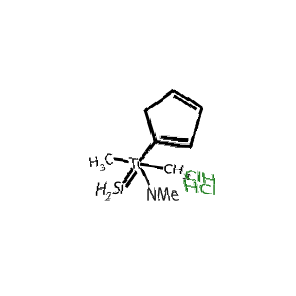 C[NH][Ti]([CH3])([CH3])(=[SiH2])[C]1=CC=CC1.Cl.Cl